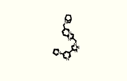 c1ccn(-c2cncc(-c3cn(Cc4cn5cc(CN6CC7CCC6C7)ccc5n4)nn3)c2)c1